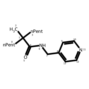 CCCCCC(C)(CCCCC)C(=O)NCc1ccncc1